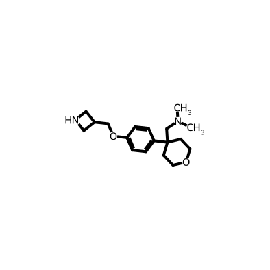 CN(C)CC1(c2ccc(OCC3CNC3)cc2)CCOCC1